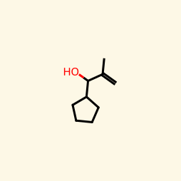 C=C(C)C(O)C1CCCC1